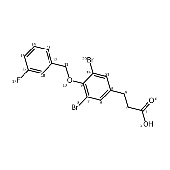 O=C(O)CCc1cc(Br)c(OCc2cccc(F)c2)c(Br)c1